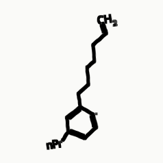 C=CCCCCCc1[c]ccc(CCC)c1